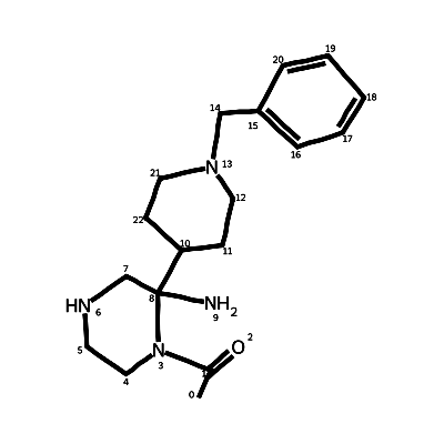 CC(=O)N1CCNCC1(N)C1CCN(Cc2ccccc2)CC1